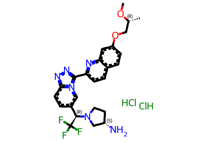 CO[C@H](C)COc1ccc2ccc(-c3nnc4ccc([C@@H](N5CC[C@H](N)C5)C(F)(F)F)cn34)nc2c1.Cl.Cl